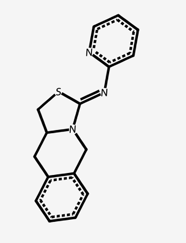 c1ccc(N=C2SCC3Cc4ccccc4CN23)nc1